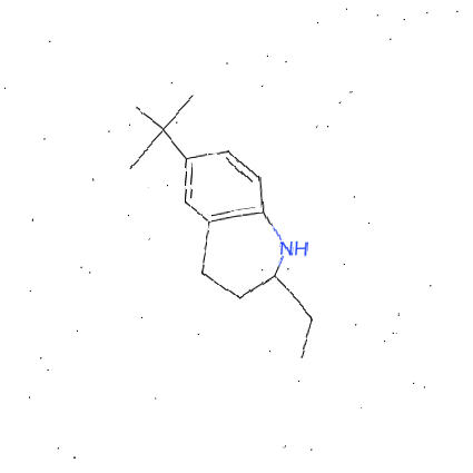 CCC1CCc2cc(C(C)(C)C)ccc2N1